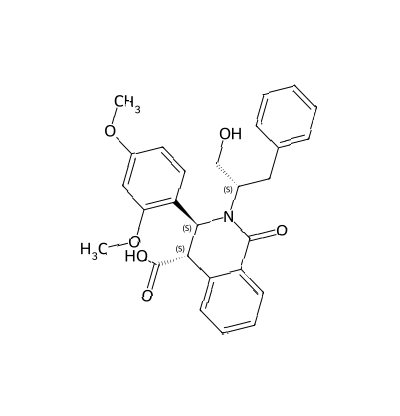 COc1ccc([C@@H]2[C@@H](C(=O)O)c3ccccc3C(=O)N2[C@H](CO)Cc2ccccc2)c(OC)c1